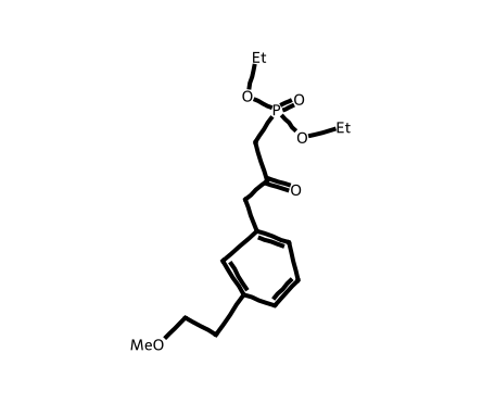 CCOP(=O)(CC(=O)Cc1cccc(CCOC)c1)OCC